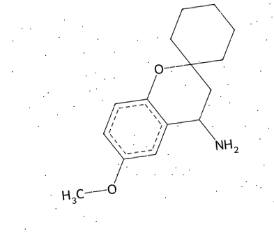 COc1ccc2c(c1)C(N)CC1(CCCCC1)O2